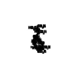 O=C(O)CCC(NC(=O)NC(CCCCNC(=O)C(Cc1ccc2ccccc2c1)NC(=O)c1ccc(CNC(=O)CCC(NC(=O)C(CCC(=O)O)NC(=O)c2ccnc([18F])c2)C(=O)O)cc1)C(=O)O)C(=O)O